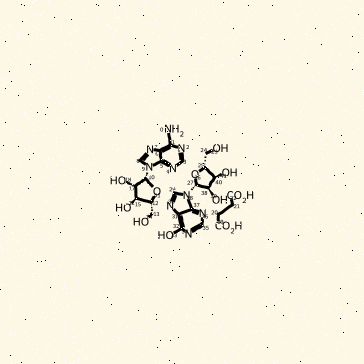 Nc1ncnc2c1ncn2[C@@H]1O[C@H](CO)[C@@H](O)[C@H]1O.O=C(O)CCC(=O)O.OC[C@H]1O[C@@H](n2cnc3c(O)ncnc32)[C@H](O)[C@@H]1O